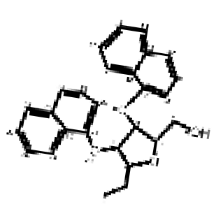 CCC1OC(CO)C(Oc2cccc3ccccc23)C1Oc1cccc2ccccc12